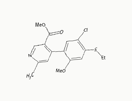 CCSc1cc(OC)c(-c2cc(C)ncc2C(=O)OC)cc1Cl